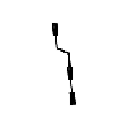 [C]#CC#CCCC#[C]